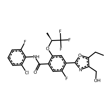 CCc1oc(-c2cc(O[C@@H](C)C(F)(F)F)c(C(=O)Nc3c(F)cccc3Cl)cc2F)nc1CO